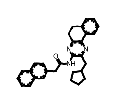 O=C(Cc1ccc2ccccc2c1)Nc1nc2c(nc1CC1CCCC1)-c1ccccc1CC2